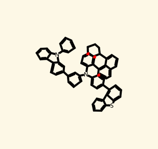 c1ccc(-n2c3ccccc3c3ccc(-c4cccc(N(c5ccc(-c6cccc7sc8ccccc8c67)cc5)c5ccccc5-c5cccc6cccc(C7CCCCC7)c56)c4)cc32)cc1